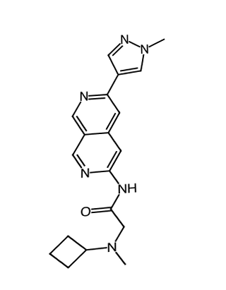 CN(CC(=O)Nc1cc2cc(-c3cnn(C)c3)ncc2cn1)C1CCC1